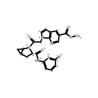 COC(=O)c1cnc2c(ccn2CC(=O)N2C3CC3C[C@H]2C(=O)Nc2cccc(Br)n2)c1